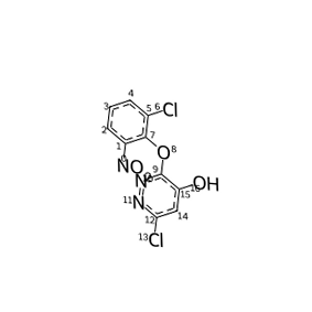 O=[N+]([O-])c1cccc(Cl)c1Oc1nnc(Cl)cc1O